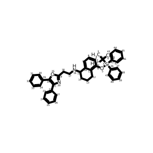 CC(C)(C)[Si](Oc1cccc2c1CCCC2NCCc1nc(-c2ccccc2)c(-c2ccccc2)o1)(c1ccccc1)c1ccccc1